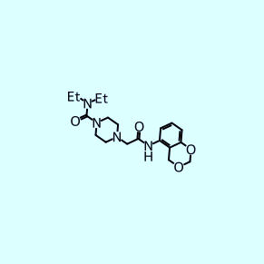 CCN(CC)C(=O)N1CCN(CC(=O)Nc2cccc3c2COCO3)CC1